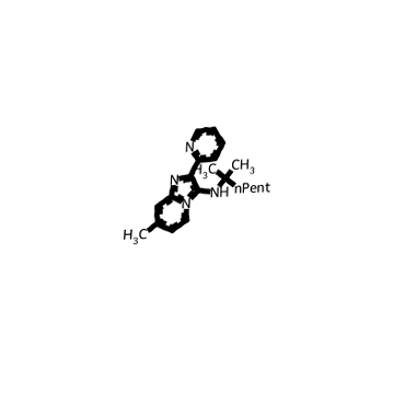 CCCCCC(C)(C)Nc1c(-c2ccccn2)nc2cc(C)ccn12